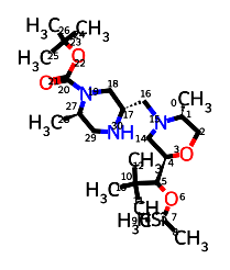 C[C@@H]1CO[C@@H](C(O[SiH](C)C)C(C)(C)C)CN1C[C@H]1CN(C(=O)OC(C)(C)C)[C@H](C)CN1